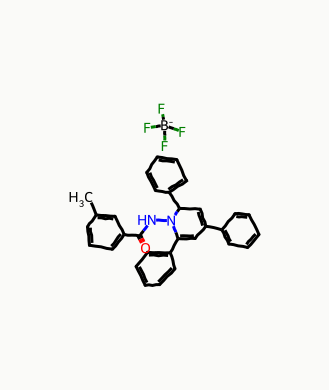 Cc1cccc(C(=O)NN2C(c3ccccc3)=CC(c3ccccc3)=CC2c2ccccc2)c1.F[B-](F)(F)F